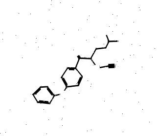 CC(C)CCC(SC#N)C(=O)c1ccc(Oc2ccccc2)cc1